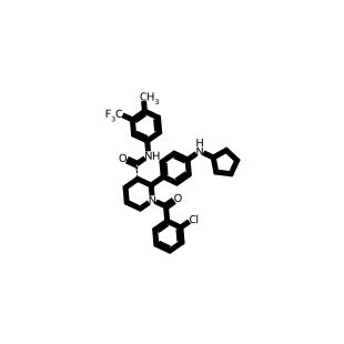 Cc1ccc(NC(=O)[C@H]2CCCN(C(=O)c3ccccc3Cl)C2c2ccc(NC3CCCC3)cc2)cc1C(F)(F)F